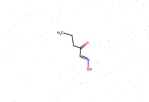 CCCC(=O)C=NO